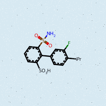 CC(C)c1ccc(-c2c(S(N)(=O)=O)cccc2S(=O)(=O)O)cc1F